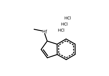 Cl.Cl.Cl.[CH3][Hf][CH]1C=Cc2ccccc21